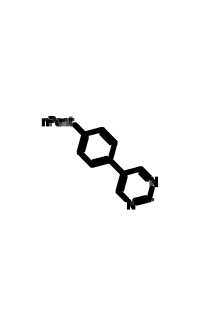 CCCCCc1ccc(-c2cn[c]nc2)cc1